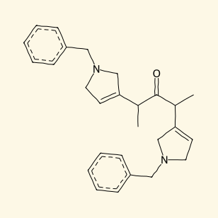 CC(C(=O)C(C)C1=CCN(Cc2ccccc2)C1)C1=CCN(Cc2ccccc2)C1